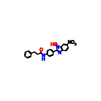 O=C(CCc1ccccc1)Nc1ccc(-c2nc3ccc([N+](=O)[O-])cc3n2O)cc1